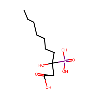 CCCCCCCC(O)(CC(=O)O)P(=O)(O)O